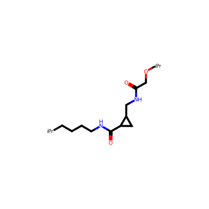 CC(C)CCCCNC(=O)C1CC1CNC(=O)COC(C)C